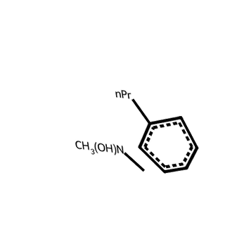 CCCc1ccccc1.CN(C)O